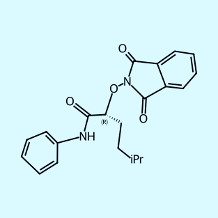 CC(C)CC[C@@H](ON1C(=O)c2ccccc2C1=O)C(=O)Nc1ccccc1